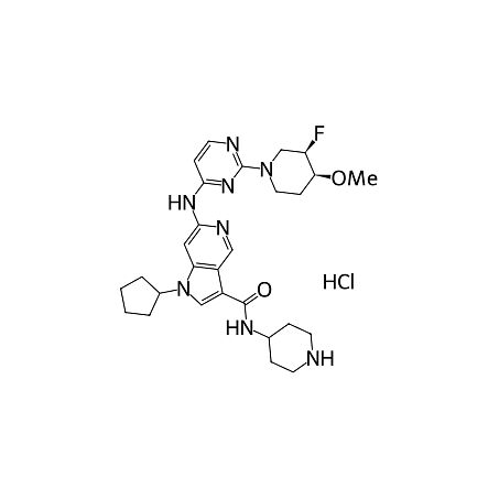 CO[C@H]1CCN(c2nccc(Nc3cc4c(cn3)c(C(=O)NC3CCNCC3)cn4C3CCCC3)n2)C[C@H]1F.Cl